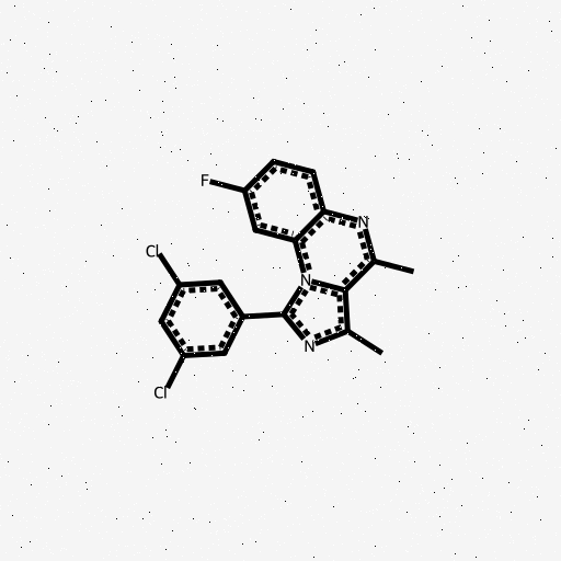 Cc1nc(-c2cc(Cl)cc(Cl)c2)n2c1c(C)nc1ccc(F)cc12